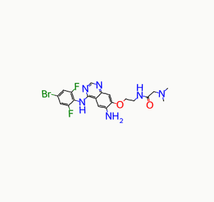 CN(C)CC(=O)NCCOc1cc2ncnc(Nc3c(F)cc(Br)cc3F)c2cc1N